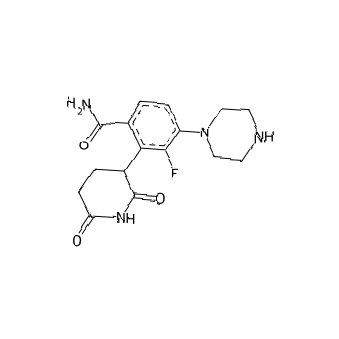 NC(=O)c1ccc(N2CCNCC2)c(F)c1C1CCC(=O)NC1=O